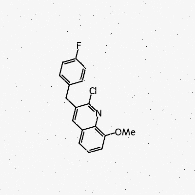 COc1cccc2cc(Cc3ccc(F)cc3)c(Cl)nc12